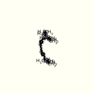 C/C(=N/C(=O)OC(C)(C)C)NCCc1ccc(OCCCCCOc2ccc(CCN/C(=N\C(=O)OC(C)(C)C)NC(=O)OC(C)(C)C)cc2)cc1